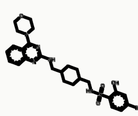 O=S(=O)(NCC1CCC(CNc2nc(N3CCOCC3)c3ccccc3n2)CC1)c1ccc(Br)cc1O